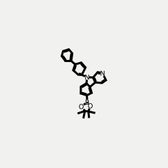 CC1(C)OB(c2ccc3c(c2)c2ccncc2n3-c2ccc(-c3ccccc3)cc2)OC1(C)C